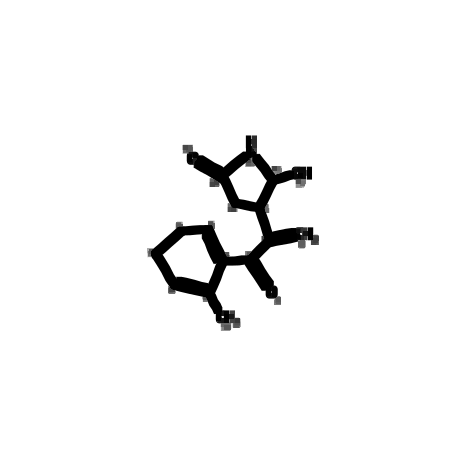 C=C(C(=O)C1=CCCC=C1C)C1CC(=O)NC1O